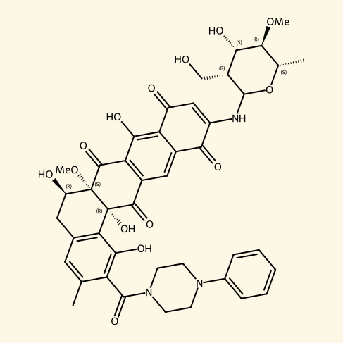 CO[C@@H]1[C@@H](O)[C@@H](CO)C(NC2=CC(=O)c3c(cc4c(c3O)C(=O)[C@]3(OC)[C@H](O)Cc5cc(C)c(C(=O)N6CCN(c7ccccc7)CC6)c(O)c5[C@]3(O)C4=O)C2=O)O[C@H]1C